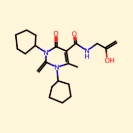 C=C(O)CNC(=O)C1=C(C)N(C2CCCCC2)C(=C)N(C2CCCCC2)C1=O